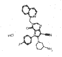 Cl.N#Cc1c(N2CCCC(N)C2)n(-c2ccc(F)cc2)c2c(=O)n(Cc3nccc4ccccc34)cnc12